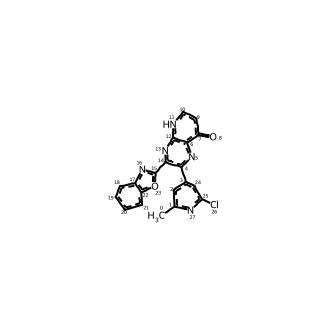 Cc1cc(-c2nc3c(=O)cc[nH]c3nc2-c2nc3ccccc3o2)cc(Cl)n1